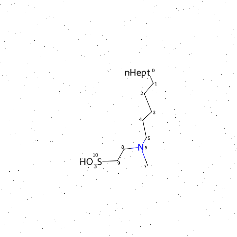 CCCCCCCCCCCCN(C)CCS(=O)(=O)O